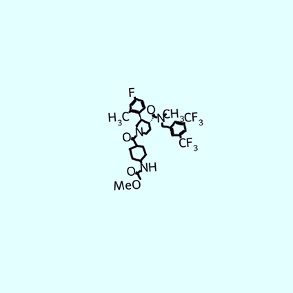 COCC(=O)NC1CCC(C(=O)N2CC[C@@H](C(=O)N(C)Cc3cc(C(F)(F)F)cc(C(F)(F)F)c3)[C@H](c3ccc(F)cc3C)C2)CC1